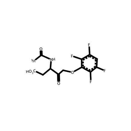 [3H]C(=O)NC(CC(=O)O)C(=O)COc1c(F)c(F)cc(F)c1F